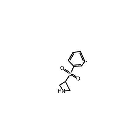 O=S(=O)(c1c[c]ccc1)C1CNC1